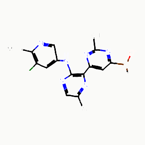 COc1ncc(Nc2ncc(C(C)=O)nc2-c2cc([S+](C)[O-])nc(C)n2)cc1F